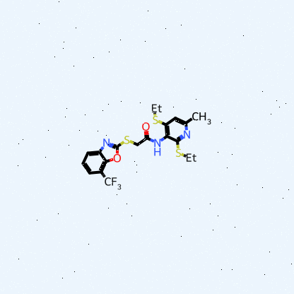 CCSc1cc(C)nc(SCC)c1NC(=O)CSc1nc2cccc(C(F)(F)F)c2o1